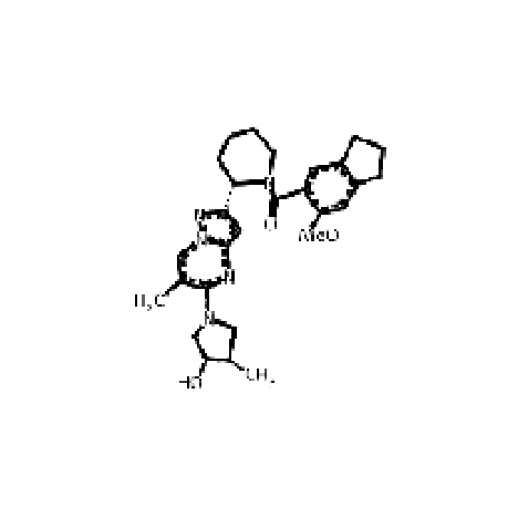 COc1cc2c(cc1C(=O)N1CCCC[C@H]1c1cc3nc(N4C[C@@H](C)[C@@H](O)C4)c(C)cn3n1)CCC2